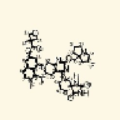 CCc1c(F)ccc2cc(OC(=O)C3(C)COC3)cc(N3CCc4c(nc(OC[C@@]56CCCN5C[C@H](F)C6)nc4N4CCC[C@]5(C4)NC(=O)NC5=O)C3)c12